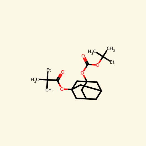 CCC(C)(C)OC(=O)OC12CC3CC(C1)CC(OC(=O)C(C)(C)CC)(C3)C2